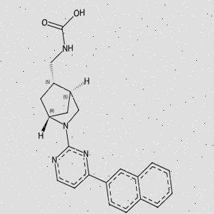 O=C(O)NC[C@H]1C[C@@H]2C[C@@H]1CN2c1nccc(-c2ccc3ccccc3c2)n1